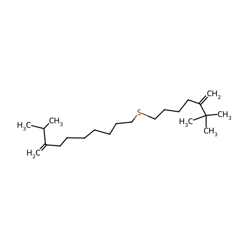 C=C(CCCCCCCSCCCCC(=C)C(C)(C)C)C(C)C